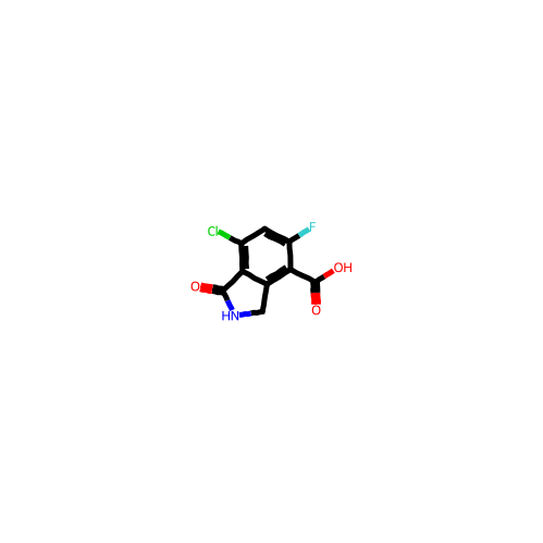 O=C(O)c1c(F)cc(Cl)c2c1CNC2=O